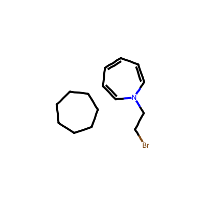 BrCCN1C=CC=CC=C1.C1CCCCCC1